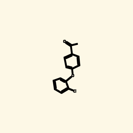 CC(=O)c1ccc(Oc2ccccc2Cl)cc1